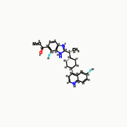 COC(=O)c1ccc2nc([C@H](C)[C@H]3CC[C@@H](c4ccnc5ccc(F)cc54)CC3)[nH]c2c1F